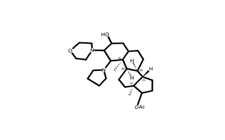 CC(=O)OC1CC[C@H]2[C@@H]3CCC4CC(O)C(N5CCOCC5)C(N5CCCC5)[C@]4(C)[C@@H]3CC[C@]12C